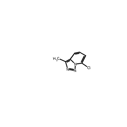 Cc1nnn2c(Cl)cccc12